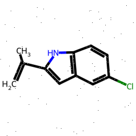 C=C(C)c1cc2cc(Cl)ccc2[nH]1